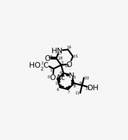 CC(=O)OC(C(=O)O)C1(c2cccc(C(C)(C)O)n2)OCCNC1=O